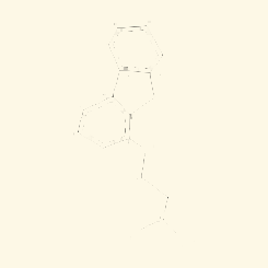 CN(C)CCOc1cccc2c1Cc1ccccc1-2